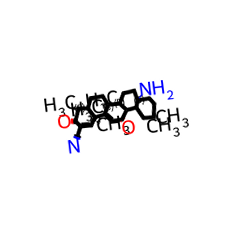 C[C@@H]1C(=O)C(C#N)=C[C@]2(C)C3=CC(=O)C4C5CC(C)(C)CC[C@]5(N)CC[C@@]4(C)[C@]3(C)CCC12